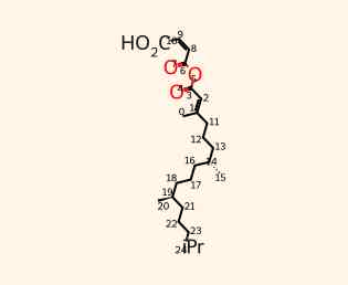 C/C(=C\C(=O)OC(=O)/C=C\C(=O)O)CCC[C@H](C)CCC[C@H](C)CCCC(C)C